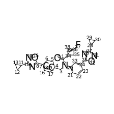 O=C(N(CC12CCC(c3nc(C4CC4)no3)(CC1)CC2)c1cccc(-c2nc(C3CC3)no2)c1)C12CC(F)(C1)C2